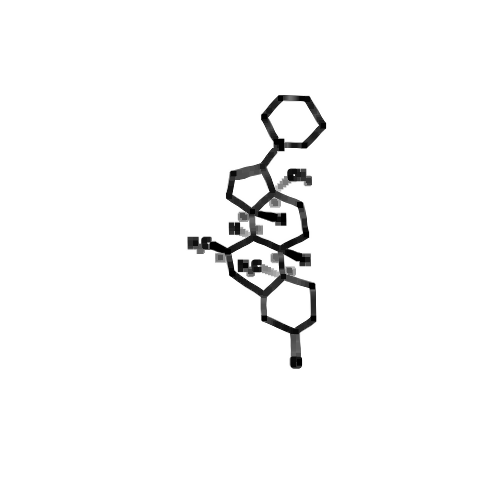 C[C@@H]1CC2CC(=O)CC[C@]2(C)[C@H]2CC[C@]3(C)C(N4CCCCC4)=CC[C@H]3[C@H]12